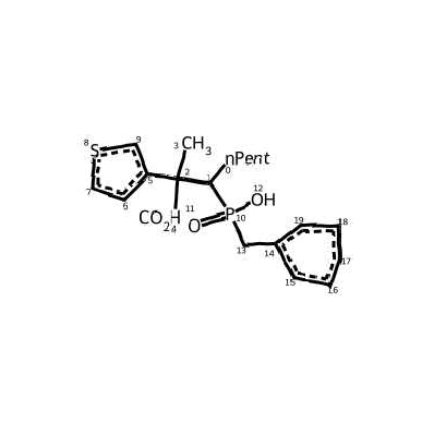 CCCCCC(C(C)(C(=O)O)c1ccsc1)P(=O)(O)Cc1ccccc1